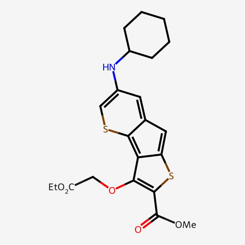 CCOC(=O)COc1c(C(=O)OC)sc2cc3cc(NC4CCCCC4)csc-3c12